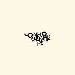 CCc1ccc(Nc2ncc(C(F)(F)F)c(Nc3ccccc3S(=O)(=O)C(C)C)n2)c(OC)c1